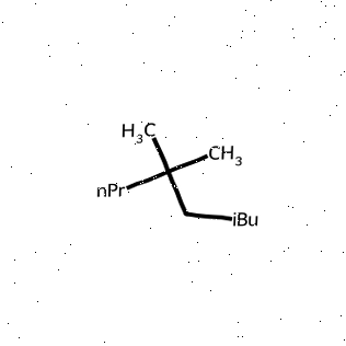 [CH2]CC(C)CC(C)(C)CCC